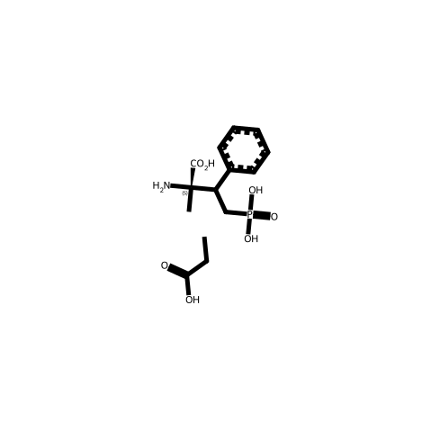 CCC(=O)O.C[C@@](N)(C(=O)O)C(CP(=O)(O)O)c1ccccc1